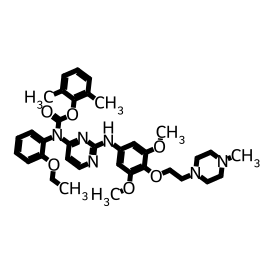 CCOc1ccccc1N(C(=O)Oc1c(C)cccc1C)c1ccnc(Nc2cc(OC)c(OCCN3CCN(C)CC3)c(OC)c2)n1